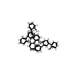 Cc1ccccc1-c1ccc2c(c1)c1ccccc1n2-c1ccc(C(F)(F)F)cc1-c1ncccc1-n1c2ccccc2c2cc(-c3ccccc3C)ccc21